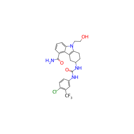 NC(=O)c1cccc2c1c1c(n2CCO)CCC(NC(=O)Nc2ccc(Cl)c(C(F)(F)F)c2)C1